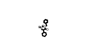 O=C(OCc1ccccc1)C(C[N+](=O)[O-])C1CCCCC1